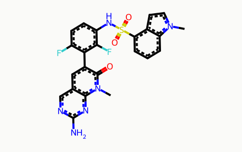 Cn1ccc2c(S(=O)(=O)Nc3ccc(F)c(-c4cc5cnc(N)nc5n(C)c4=O)c3F)cccc21